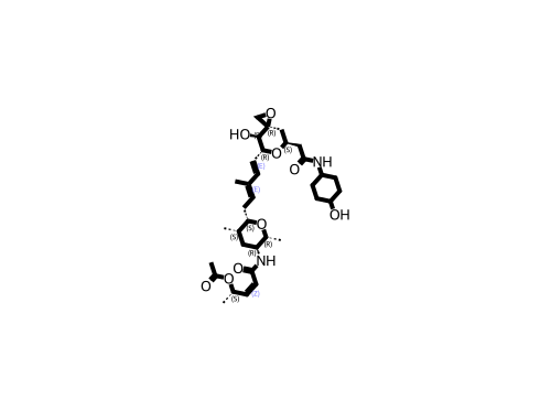 CC(=O)O[C@@H](C)/C=C\C(=O)N[C@@H]1C[C@H](C)[C@H](C/C=C(C)/C=C/[C@H]2O[C@H](CC(=O)NC3CCC(O)CC3)C[C@@]3(CO3)[C@@H]2O)O[C@@H]1C